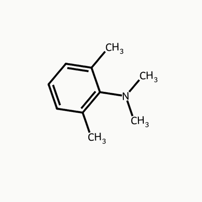 Cc1cccc(C)c1N(C)C